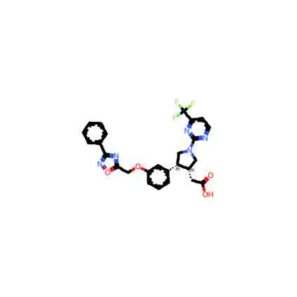 O=C(O)C[C@H]1CN(c2nccc(C(F)(F)F)n2)C[C@H]1c1cccc(OCc2nc(-c3ccccc3)no2)c1